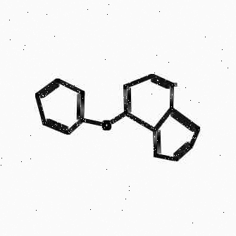 [c]1ccc(Oc2ccccc2)c2ccccc12